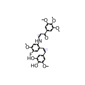 COc1cc(N/C=C\C(=O)c2cc(OC)c(OC)c(OC)c2)c(/C=C\c2cc(O)c(O)c(OC)c2)cc1F